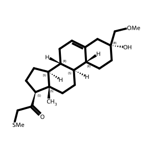 COC[C@@]1(O)CC[C@H]2C(=CC[C@@H]3[C@@H]2CC[C@]2(C)[C@@H](C(=O)CSC)CC[C@@H]32)C1